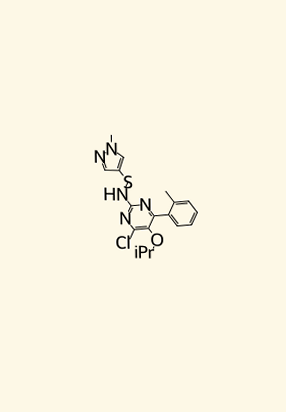 Cc1ccccc1-c1nc(NSc2cnn(C)c2)nc(Cl)c1OC(C)C